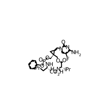 CC(C)C[C@H](NP(=O)(OC[C@@]1(COC(=O)[C@@H](N)C(C)C)C/C1=C/n1cc(F)c(N)nc1=O)Oc1ccccc1)C(=O)O